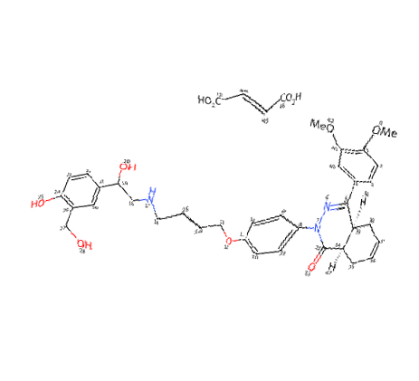 COc1ccc(C2=NN(c3ccc(OCCCCNCC(O)c4ccc(O)c(CO)c4)cc3)C(=O)[C@@H]3CC=CC[C@H]23)cc1OC.O=C(O)/C=C/C(=O)O